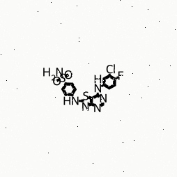 NS(=O)(=O)c1ccc(Nc2nc3ncnc(Nc4ccc(F)c(Cl)c4)c3s2)cc1